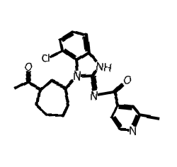 CC(=O)C1CCCCC(n2/c(=N/C(=O)c3ccnc(C)c3)[nH]c3cccc(Cl)c32)C1